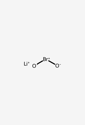 [Li+].[O-][Br+][O-]